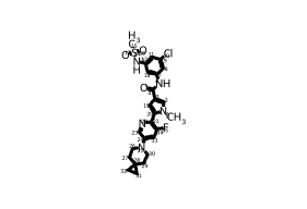 Cn1cc(C(=O)Nc2cc(Cl)cc(NS(C)(=O)=O)c2)cc1-c1ncc(N2CCC3(CC2)CC3)cc1F